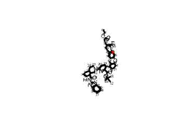 CCOC(=O)CC(Cc1ccc(Oc2cccc(-c3ccc(N4CCc5cccc(C(=O)Nc6nc7ccccc7s6)c5C4)nc3C(=O)OC(C)(C)C)c2C)cc1)C(F)(F)F